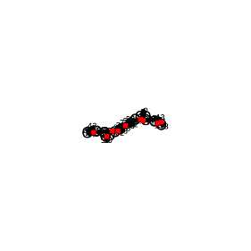 C=CC(=O)OC(COCCOCC(C)(CC)COC)COc1ccc(C(C)(C)c2ccc(OCC(COCCOCC3(CC)COC3)OC(=O)C=C)cc2)cc1